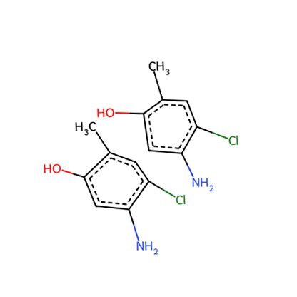 Cc1cc(Cl)c(N)cc1O.Cc1cc(Cl)c(N)cc1O